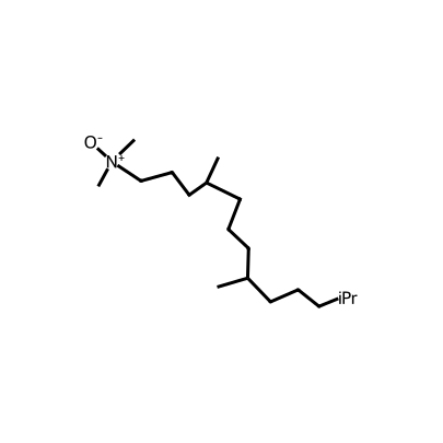 CC(C)CCCC(C)CCCC(C)CCC[N+](C)(C)[O-]